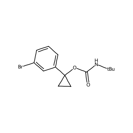 CC(C)(C)NC(=O)OC1(c2cccc(Br)c2)CC1